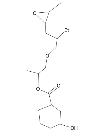 CCC(COCC(C)OC(=O)C1CCCC(O)C1)CC1OC1C